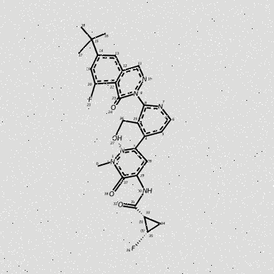 Cn1nc(-c2ccnc(-n3ncc4cc(C(C)(C)C)cc(F)c4c3=O)c2CO)cc(NC(=O)[C@@H]2C[C@@H]2F)c1=O